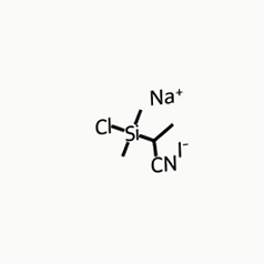 CC(C#N)[Si](C)(C)Cl.[I-].[Na+]